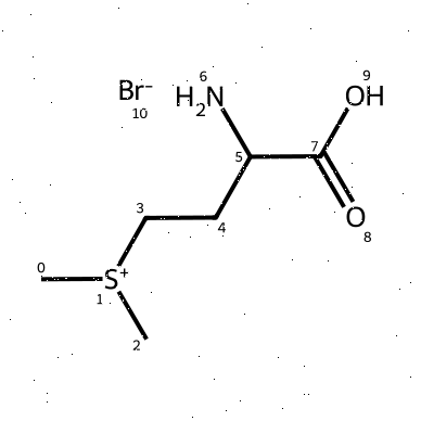 C[S+](C)CCC(N)C(=O)O.[Br-]